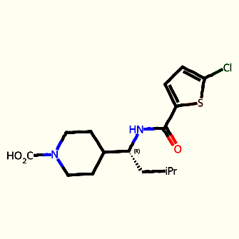 CC(C)C[C@@H](NC(=O)c1ccc(Cl)s1)C1CCN(C(=O)O)CC1